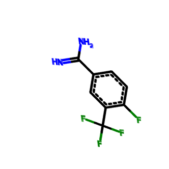 N=C(N)c1ccc(F)c(C(F)(F)F)c1